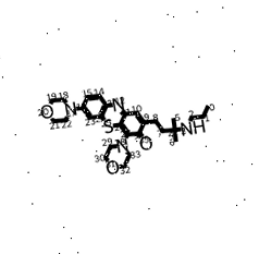 CCCNC(C)(C)CCc1cc2nc3ccc(N4CCOCC4)cc3sc-2c(N2CCOCC2)c1=O